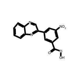 O=C(OO)c1cc(-c2cnc3ccccc3n2)cc([N+](=O)[O-])c1